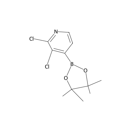 CC1(C)OB(c2ccnc(Cl)c2Cl)OC1(C)C